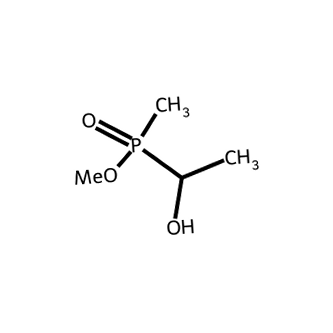 COP(C)(=O)C(C)O